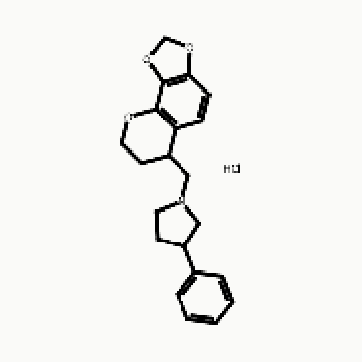 Cl.c1ccc(C2CCN(CC3CCOc4c3ccc3c4OCO3)C2)cc1